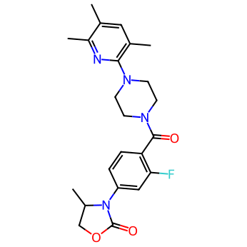 Cc1cc(C)c(N2CCN(C(=O)c3ccc(N4C(=O)OCC4C)cc3F)CC2)nc1C